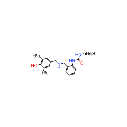 CCCCCCCNC(=O)Nc1ccccc1CNCc1cc(C(C)(C)C)c(O)c(C(C)(C)C)c1